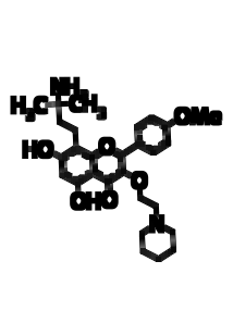 COc1ccc(-c2oc3c(CCC(C)(C)N)c(O)cc(O)c3c(=O)c2OCCN2CCCCC2)cc1